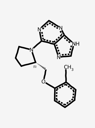 Cc1ccccc1OC[C@@H]1CCCN1c1ncnc2[nH]cnc12